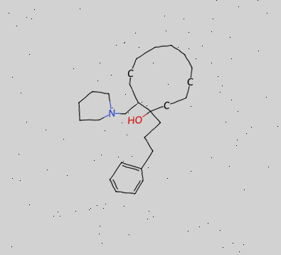 OC1(CCCc2ccccc2)CCCCCCCCCCC1CN1CCCCC1